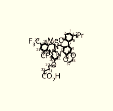 COc1ccc(C(C)C)cc1-c1cc2c(cc1CN(Cc1cc(C(F)(F)F)cc(C(F)(F)F)c1)c1ncc(OCCCC(=O)O)cn1)OCCO2